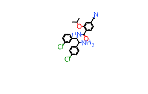 CC(C)Oc1cc(C#N)ccc1C(=O)NC(c1cccc(Cl)c1)C(N)c1ccc(Cl)cc1